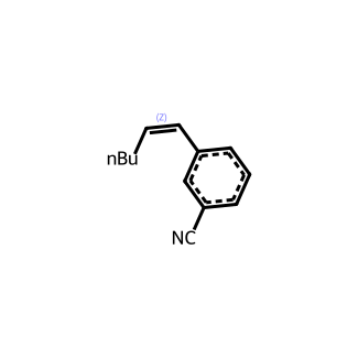 CCCC/C=C\c1cccc(C#N)c1